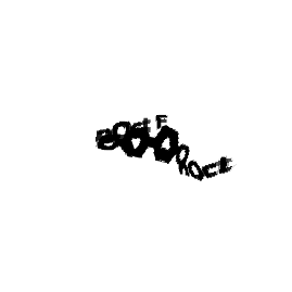 CCCCCCCCOc1ccc(-c2ccc(OCCCCCCCC)cc2F)cc1